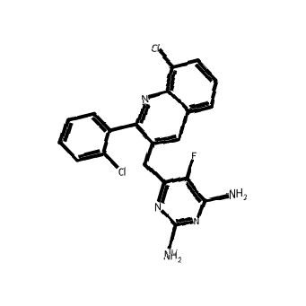 Nc1nc(N)c(F)c(Cc2cc3cccc(Cl)c3nc2-c2ccccc2Cl)n1